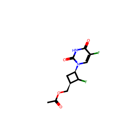 CC(=O)OC[C@H]1C[C@@H](n2cc(F)c(=O)[nH]c2=O)C1F